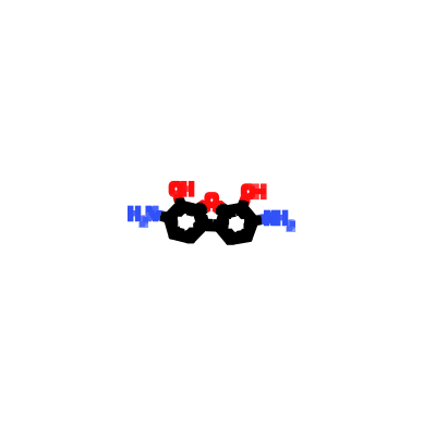 Nc1ccc2c(oc3c(O)c(N)ccc32)c1O